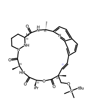 CC(C)[C@@H]1OC(=O)[C@@](C)(CO[Si](C)(C)C(C)(C)C)/C=C/c2ccc3ccc(nc3c2)[C@@H](C)NC(=O)[C@@H]2CCCN(N2)C(=O)[C@H](C)NC1=O